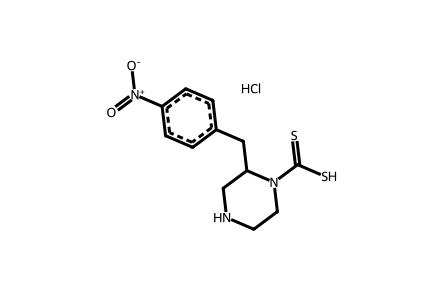 Cl.O=[N+]([O-])c1ccc(CC2CNCCN2C(=S)S)cc1